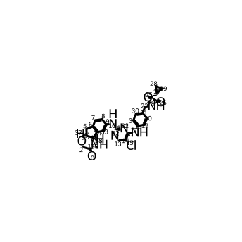 O=C1CO[C@H]2Cc3ccc(Nc4ncc(Cl)c(Nc5ccc(CNS(=O)(=O)C6CC6)cc5)n4)cc3[C@H]2N1